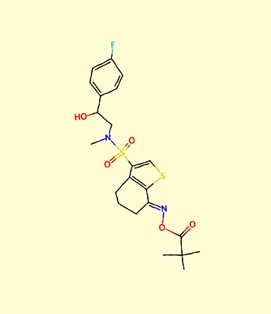 CN(CC(O)c1ccc(F)cc1)S(=O)(=O)c1csc2c1CCCC2=NOC(=O)C(C)(C)C